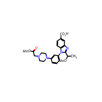 COC(=O)CN1CCN(c2cccc(-n3c(C(C)OC)nc4cc(C(=O)O)ccc43)c2)CC1